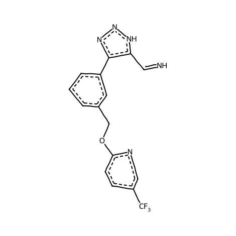 N=Cc1[nH]nnc1-c1cccc(COc2ccc(C(F)(F)F)cn2)c1